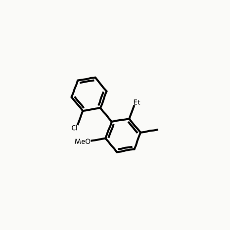 CCc1c(C)ccc(OC)c1-c1ccccc1Cl